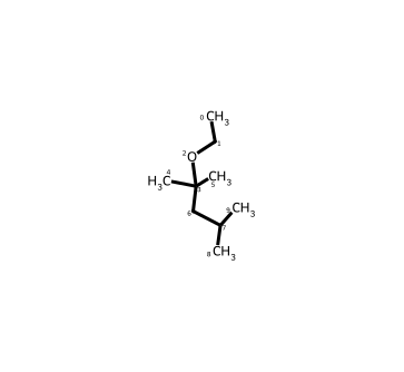 CCOC(C)(C)CC(C)C